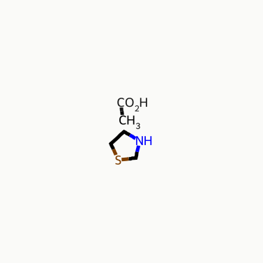 C1CSCN1.CC(=O)O